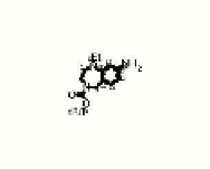 CCN1CCN(C(=O)OC(C)(C)C)Cc2ccc(N)cc21